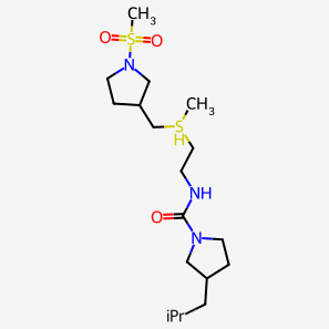 CC(C)CC1CCN(C(=O)NCC[SH](C)CC2CCN(S(C)(=O)=O)C2)C1